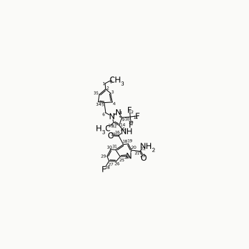 CCc1ccc(Cn2nc(C(F)(F)F)c(NC(=O)c3cc(C(N)=O)nc4cc(F)ccc34)c2C)cc1